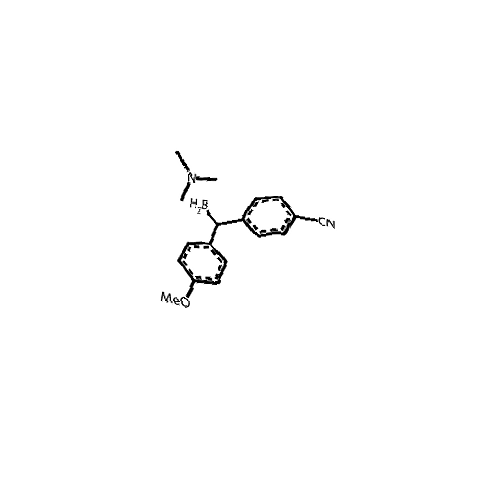 BC(c1ccc(C#N)cc1)c1ccc(OC)cc1.CN(C)C